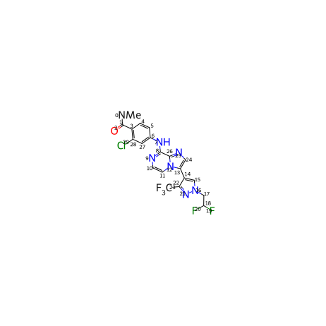 CNC(=O)c1ccc(Nc2nccn3c(-c4cn(CC(F)F)nc4C(F)(F)F)cnc23)cc1Cl